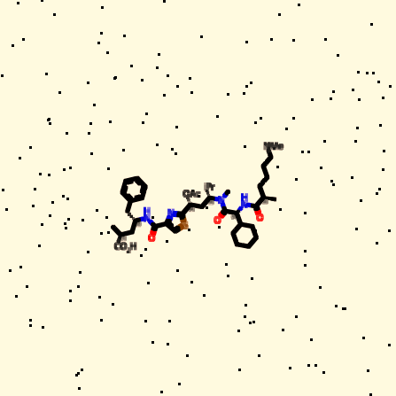 CNCCCC[C@@H](C)C(=O)N[C@H](C(=O)N(C)[C@H](C[C@@H](OC(C)=O)c1nc(C(=O)N[C@@H](Cc2ccccc2)C[C@H](C)C(=O)O)cs1)C(C)C)C1CCCCC1